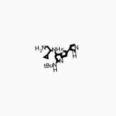 CC(C)(C)Nc1cc(NC(CN)C2CC2)c2sc(-c3ccn[nH]3)cc2n1